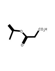 C=C(C)OC(=O)CC(=O)O